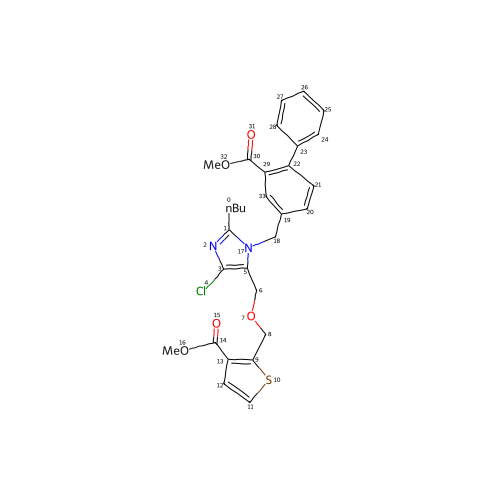 CCCCc1nc(Cl)c(COCc2sccc2C(=O)OC)n1Cc1ccc(-c2ccccc2)c(C(=O)OC)c1